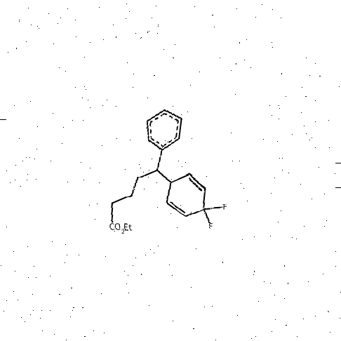 CCOC(=O)CCCC(c1ccccc1)C1C=CC(F)(F)C=C1